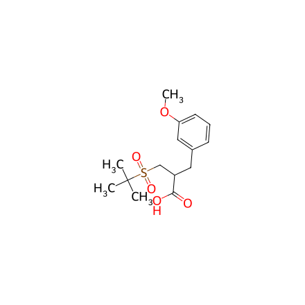 COc1cccc(CC(CS(=O)(=O)C(C)(C)C)C(=O)O)c1